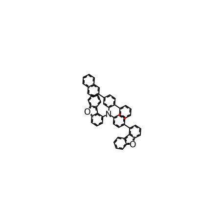 c1ccc(-c2ccc(-c3ccc4ccccc4c3)cc2N(c2ccc(-c3cccc4oc5ccccc5c34)cc2)c2cccc3oc4ccccc4c23)cc1